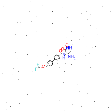 C[C@@H](N)[C@H](NC(=O)c1ccc(-c2ccc(COCC(F)F)cc2)cc1)C(=O)NO